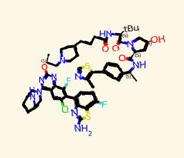 Cc1ncsc1-c1ccc([C@H](C)NC(=O)[C@@H]2C[C@@H](O)CN2C(=O)[C@@H](NC(=O)CCCC2CCN(C[C@H](C)Oc3nc(N4CC5CCC(C4)N5)c4cc(Cl)c(-c5ccc(F)c6sc(N)nc56)c(F)c4n3)CC2)C(C)(C)C)cc1